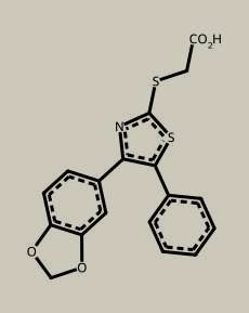 O=C(O)CSc1nc(-c2ccc3c(c2)OCO3)c(-c2ccccc2)s1